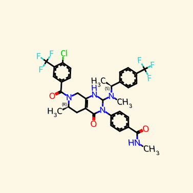 CNC(=O)c1ccc(N2C(=O)C3=C(CN(C(=O)c4ccc(Cl)c(C(F)(F)F)c4)[C@H](C)C3)NC2N(C)[C@@H](C)c2ccc(C(F)(F)F)cc2)cc1